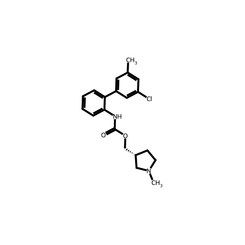 Cc1cc(Cl)cc(-c2ccccc2NC(=O)OC[C@@H]2CCN(C)C2)c1